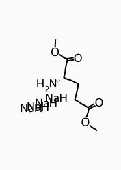 COC(=O)CC[C@H](N)C(=O)OC.[NaH].[NaH].[NaH].[NaH]